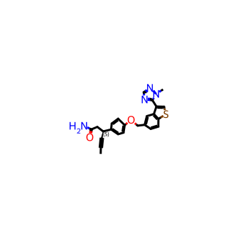 CC#C[C@@H](CC(N)=O)c1ccc(OCc2ccc3scc(-c4ncnn4C)c3c2)cc1